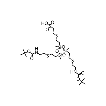 CC(C)(C)OC(=O)NCCSCC[Si]1(C)O[Si](C)(CCSCCNC(=O)OC(C)(C)C)O[Si](C)(CCSCCS(=O)(=O)O)O1